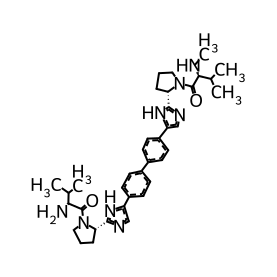 CN[C@H](C(=O)N1CCC[C@H]1c1ncc(-c2ccc(-c3ccc(-c4cnc([C@@H]5CCCN5C(=O)[C@@H](N)C(C)C)[nH]4)cc3)cc2)[nH]1)C(C)C